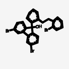 OC1(c2ccccc2CCc2ccccc2Br)c2ccc(Br)cc2-c2cc(Br)ccc21